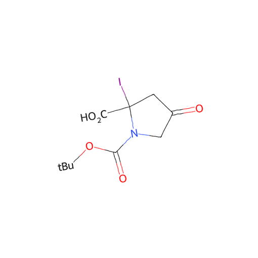 CC(C)(C)OC(=O)N1CC(=O)CC1(I)C(=O)O